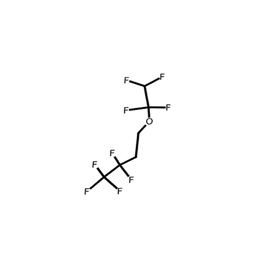 FC(F)C(F)(F)OCCC(F)(F)C(F)(F)F